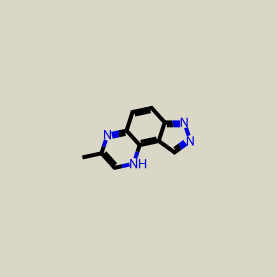 Cc1c[nH]c2c(ccc3nncc32)n1